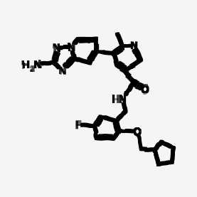 Cc1ncc(C(=O)NCc2cc(F)ccc2OCC2CCCC2)cc1-c1ccn2nc(N)nc2c1